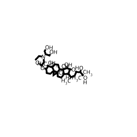 C[C@@H]1CC(C(O)C(C)(C)O)OC2[C@H]1C1(C)CCC34CC35CCC(O[C@H]3CN(C(CO)CO)CCO3)C(C)(C)[C@@H]5CCC4[C@]1(C)[C@H]2O